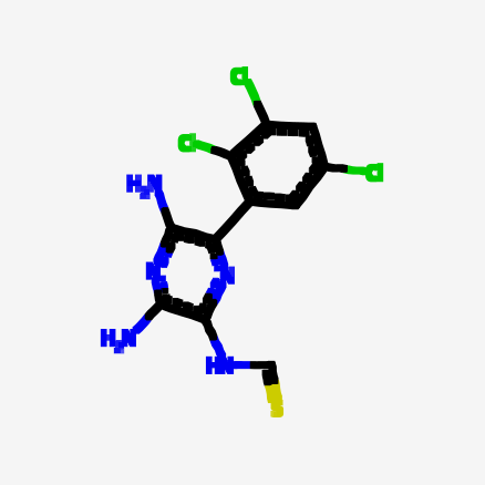 Nc1nc(N)c(-c2cc(Cl)cc(Cl)c2Cl)nc1NC=S